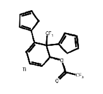 O=C(OC1C=CC=C(C2=CC=CC2)C1(C1=CC=CC1)C(F)(F)F)C(F)(F)F.[Ti]